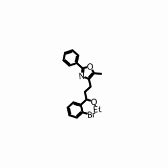 CCOC(CCc1nc(-c2ccccc2)oc1C)c1ccccc1Br